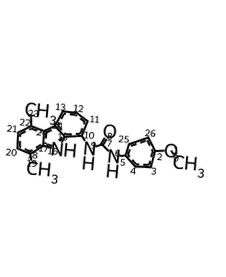 COc1ccc(NC(=O)Nc2cccc3c2[nH]c2c(C)ccc(C)c23)cc1